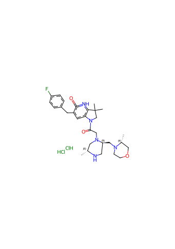 C[C@@H]1CN(CC(=O)N2CC(C)(C)c3[nH]c(=O)c(Cc4ccc(F)cc4)cc32)[C@@H](CN2CCOC[C@H]2C)CN1.Cl.Cl